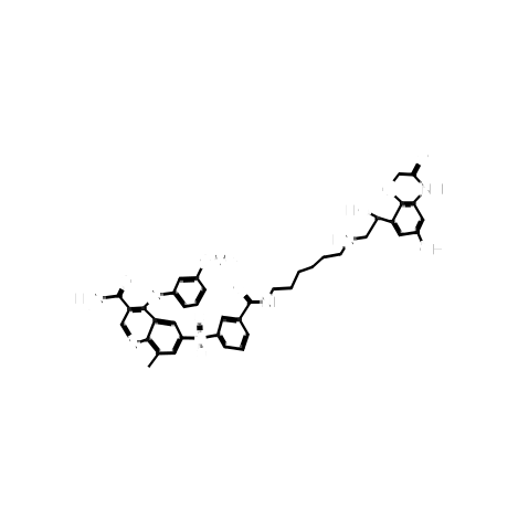 COc1cccc(Nc2c(C(N)=O)cnc3c(C)cc(S(=O)(=O)c4cccc(C(=O)NCCCCCCNCC(O)c5cc(O)cc6c5OCC(=O)N6)c4)cc23)c1